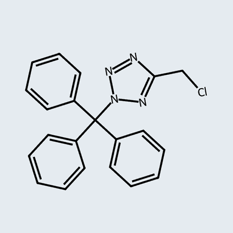 ClCc1nnn(C(c2ccccc2)(c2ccccc2)c2ccccc2)n1